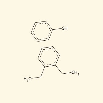 CCc1ccccc1CC.Sc1ccccc1